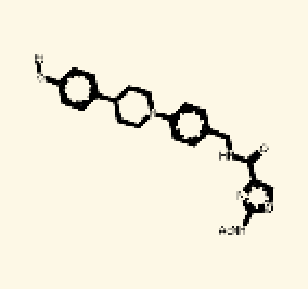 CCOc1ccc(C2CCN(c3ccc(CNC(=O)c4coc(NC(C)=O)n4)cc3)CC2)cc1